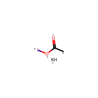 CC(=O)OI.[KH]